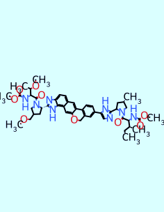 CC[C@H](C)[C@H](NC(=O)OC)C(=O)N1C[C@@H](C)CC1c1ncc(-c2ccc3c(c2)COc2cc4c(ccc5nc([C@@H]6CC(COC)CN6C(=O)[C@@H](NC(=O)OC)C(C)OC)[nH]c54)cc2-3)[nH]1